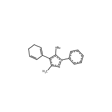 CCCCc1c(C2=CCCC=C2)c(C)nn1-c1ccccc1